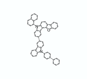 c1ccc(-c2ccc(-n3c4ccccc4c4cc(-c5ccc6c(c5)c5c7oc8ccccc8c7ccc5n6-c5cccc6ccccc56)ccc43)cc2)cc1